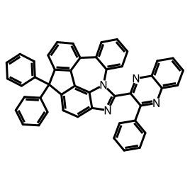 c1ccc(-c2nc3ccccc3nc2-c2nc3ccc4c5c3n2-c2ccccc2-c2cccc(c2-5)C4(c2ccccc2)c2ccccc2)cc1